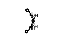 OC(CNCCc1ccccc1)COc1ccc(OCC(O)CNCCc2ccccc2)cc1